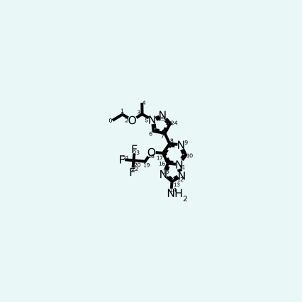 CCOC(C)n1cc(-c2ncn3nc(N)nc3c2OCC(F)(F)F)cn1